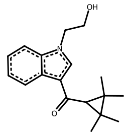 CC1(C)C(C(=O)c2cn(CCO)c3ccccc23)C1(C)C